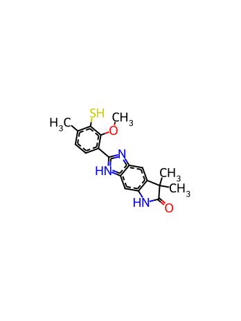 COc1c(-c2nc3cc4c(cc3[nH]2)NC(=O)C4(C)C)ccc(C)c1S